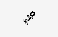 CC(=O)NCc1nc2ccccc2n1C